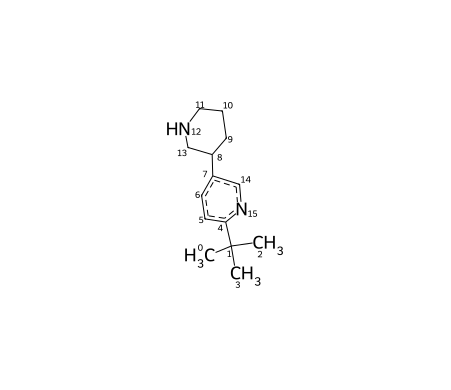 CC(C)(C)c1ccc(C2CCCNC2)cn1